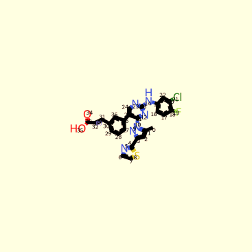 Cc1cc(-c2nccs2)nn1-c1nc(Nc2ccc(F)c(Cl)c2)ncc1-c1cccc(/C=C/C(=O)O)c1